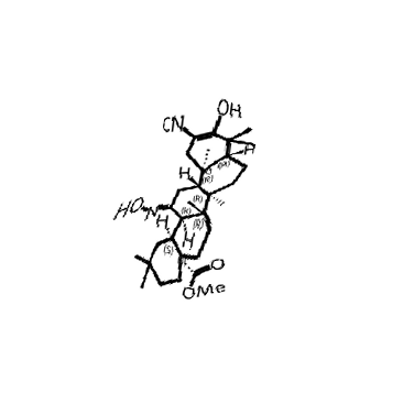 [C-]#[N+]C1=C(O)C(C)(C)[C@@H]2CC[C@]3(C)[C@H](CC(=NO)[C@@H]4[C@@H]5CC(C)(C)CC[C@]5(C(=O)OC)CC[C@]43C)[C@@]2(C)C1